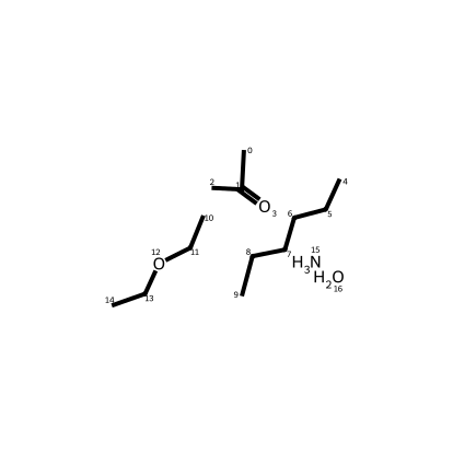 CC(C)=O.CCCCCC.CCOCC.N.O